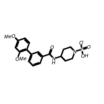 COc1ccc(-c2cccc(C(=O)NC3CCN(P(=O)(O)Cl)CC3)c2)c(OC)c1